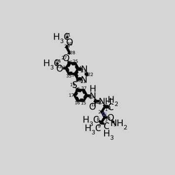 C=C(/C=C(\ON)C(C)(C)C)NC(=O)Nc1cccc(Sc2ncnc3cc(OCCOC)c(OC)cc23)c1